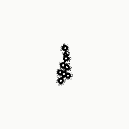 c1ccc(-c2cc3cc(-c4cccc5c(-c6c7ccccc7c(-c7ccccc7)c7ccccc67)cccc45)ccc3o2)cc1